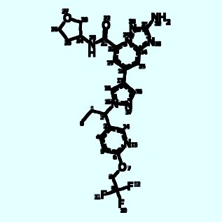 CCC(c1ccc(OCC(F)(F)F)nc1)n1cc(-c2cc(C(=O)NC3CCOC3)n3nc(N)nc3c2)cn1